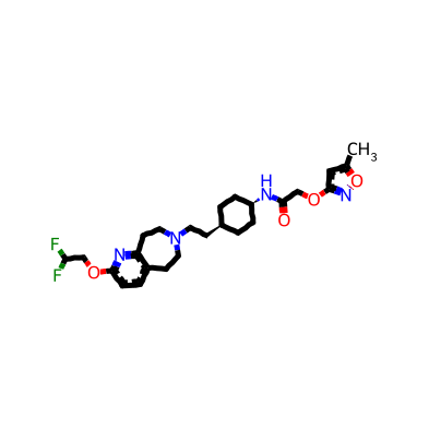 Cc1cc(OCC(=O)N[C@H]2CC[C@H](CCN3CCc4ccc(OCC(F)F)nc4CC3)CC2)no1